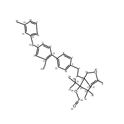 CC1=NC(CCc2ccc(-c3ccc(Sc4cccc(C)c4)cc3F)cc2)(C(OP=O)(C(C)(C)C)C(C)(C)C)CO1